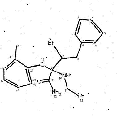 CCC(Cc1ccccc1)C(NCC(C)C)(Oc1ccccc1C)C(N)=O